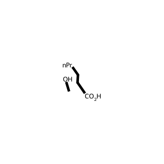 CCCCCC(=O)O.CO